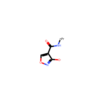 CCCNC(=O)c1conc1[O]